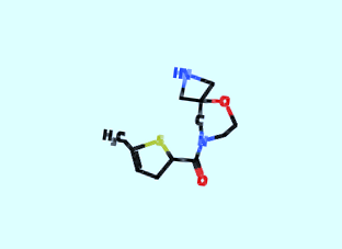 CC1=CCC(C(=O)N2CCOC3(CNC3)C2)S1